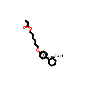 C=CC(=O)OCCCCCCOc1ccc(C2CCCCC2(C(=O)O)C(=O)O)cc1